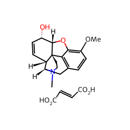 COc1ccc2c3c1O[C@H]1[C@@H](O)C=C[C@H]4[C@@H](C2)N(C)CC[C@@]341.O=C(O)/C=C/C(=O)O